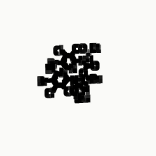 CCOC(=O)c1c(NC(=O)OC(C)(C)C)ncc(Br)c1Cl.CCc1nc(NC(=O)OC(C)(C)C)c(C(=O)O)c(Cl)c1Br